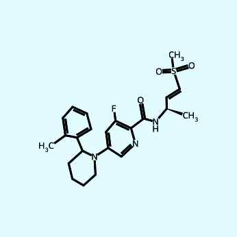 Cc1ccccc1C1CCCCN1c1cnc(C(=O)N[C@H](C)/C=C/S(C)(=O)=O)c(F)c1